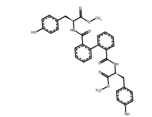 COC(=O)[C@H](Cc1ccc(O)cc1)NC(=O)c1ccccc1-c1ccccc1C(=S)N[C@@H](Cc1ccc(O)cc1)C(=O)OC